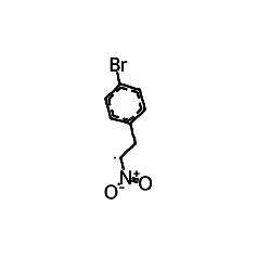 O=[N+]([O-])[CH]Cc1ccc(Br)cc1